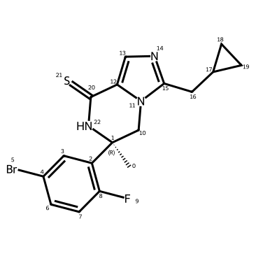 C[C@@]1(c2cc(Br)ccc2F)Cn2c(cnc2CC2CC2)C(=S)N1